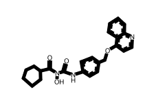 O=C(Nc1ccc(COc2ccnc3ccccc23)cc1)N(O)C(=O)C1CCCCC1